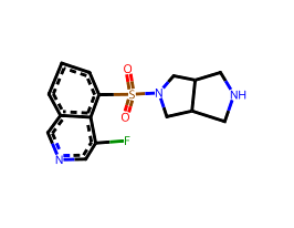 O=S(=O)(c1cccc2cncc(F)c12)N1CC2CNCC2C1